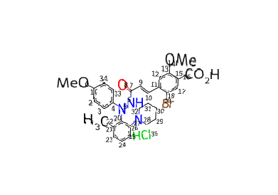 COc1ccc(N(NC(=O)/C=C/c2cc(OC)c(C(=O)O)cc2Br)c2c(C)cccc2N2CCCCC2)cc1.Cl